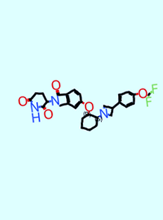 O=C1CCC(N2Cc3cc(O[C@@H]4CCCC[C@@H]4N4CC(c5ccc(OC(F)F)cc5)C4)ccc3C2=O)C(=O)N1